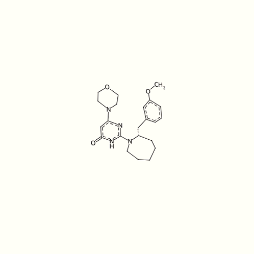 COc1cccc(C[C@@H]2CCCCCN2c2nc(N3CCOCC3)cc(=O)[nH]2)c1